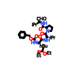 CCCC[C@H](NC(=O)OCc1ccccc1)C(=O)N[C@H](C(=O)N1CCC[C@H]1C(=O)N[C@H](C=O)C(C)C)C(C)C.CCOC(C)OCC